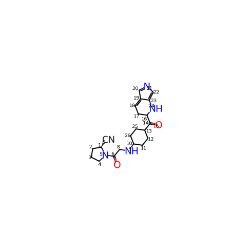 N#C[C@@H]1CCCN1C(=O)CNC1CCC(C(=O)C2CC=C3C=NC=C3N2)CC1